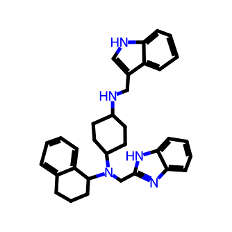 c1ccc2c(c1)CCCC2N(Cc1nc2ccccc2[nH]1)C1CCC(NCc2c[nH]c3ccccc23)CC1